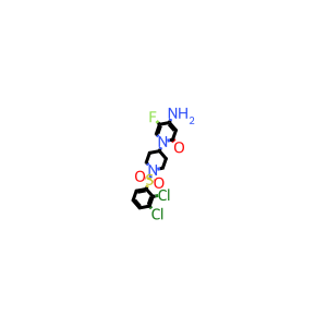 Nc1cc(=O)n(C2CCN(S(=O)(=O)c3cccc(Cl)c3Cl)CC2)cc1F